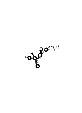 O=C1OC2(CCN(Cc3cc(C4CC4)c(-c4ccc(F)cc4)cc3OCc3ccccc3)CC2)CN1c1ccc(S(=O)(=O)O)cc1